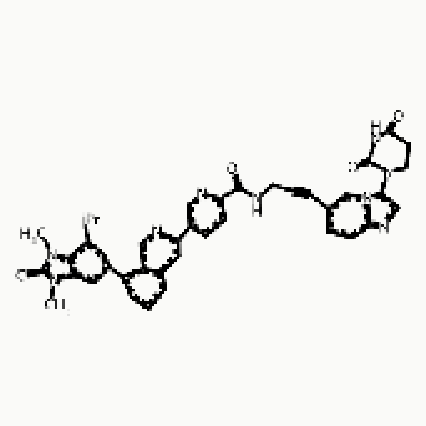 CC(C)c1cc(-c2cccc3cc(-c4ccc(C(=O)NCC#Cc5ccc6ncc(N7CCC(=O)NC7=O)n6c5)nc4)ncc23)cc2c1n(C)c(=O)n2C